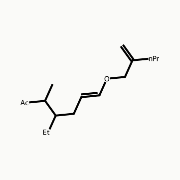 C=C(CCC)CO/C=C/CC(CC)C(C)C(C)=O